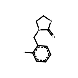 O=C1[N]CCN1Cc1ccccc1F